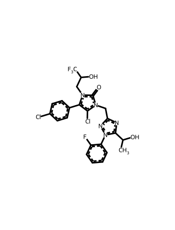 CC(O)c1nc(Cn2c(Cl)c(-c3ccc(Cl)cc3)n(CC(O)C(F)(F)F)c2=O)nn1-c1ccccc1F